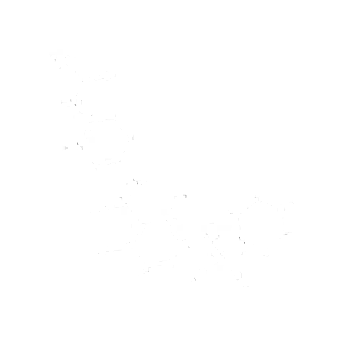 CC(=O)Nc1ccc(NC(=O)c2c(F)ccc([AsH]S(=O)(=O)N3CCOCC3)c2F)cn1